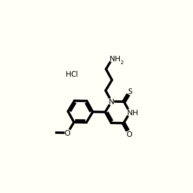 COc1cccc(-c2cc(=O)[nH]c(=S)n2CCCN)c1.Cl